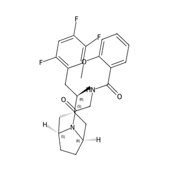 COc1ccccc1C(=O)NCC(=O)N1[C@@H]2CC[C@H]1C[C@H]([C@H](C)Cc1cc(F)c(F)cc1F)C2